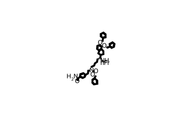 CCCN[C@@H](CCCCCN(CCc1ccc(C(N)=O)cc1)C(=O)OCc1ccccc1)C1CCc2c(ccc(OCc3ccccc3)c2OCc2ccccc2)C1